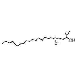 CCCCCCCCCCCCCCCC[S+]([O-])CCC(O)OC